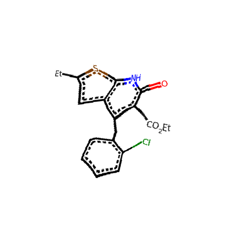 CCOC(=O)c1c(-c2ccccc2Cl)c2cc(CC)sc2[nH]c1=O